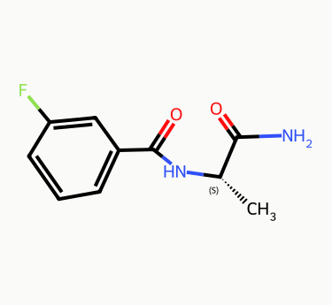 C[C@H](NC(=O)c1cccc(F)c1)C(N)=O